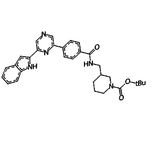 CC(C)(C)OC(=O)N1CCCC(CNC(=O)c2ccc(-c3cncc(-c4cc5ccccc5[nH]4)n3)cc2)C1